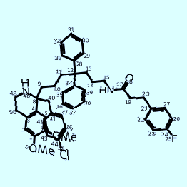 COc1cc2c(cc1OC)C(CCCC(CCCNC(=O)CCc1ccc(F)cc1)(c1ccccc1)c1ccccc1)(Cc1ccc(Cl)cc1)NCC2